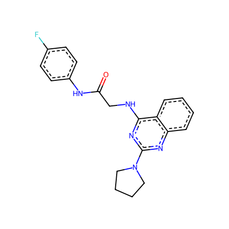 O=C(CNc1nc(N2CCCC2)nc2ccccc12)Nc1ccc(F)cc1